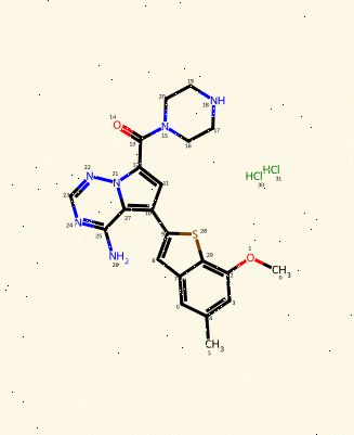 COc1cc(C)cc2cc(-c3cc(C(=O)N4CCNCC4)n4ncnc(N)c34)sc12.Cl.Cl